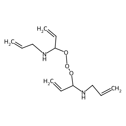 C=CCNC(C=C)OOOC(C=C)NCC=C